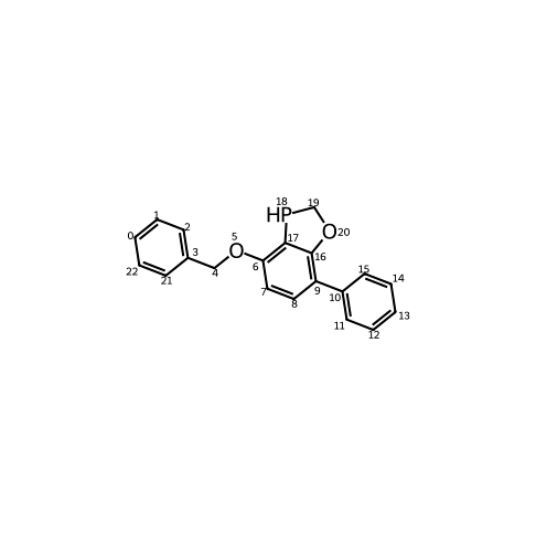 c1ccc(COc2ccc(-c3ccccc3)c3c2PCO3)cc1